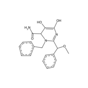 COC(C1=NC(O)=C(O)C(C(N)=O)N1Cc1ccccc1)c1ccccc1